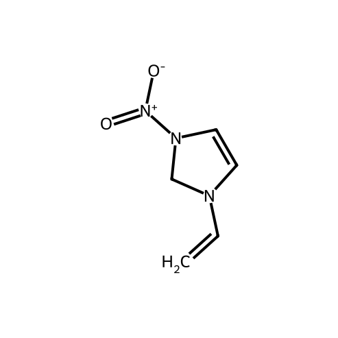 C=CN1C=CN([N+](=O)[O-])C1